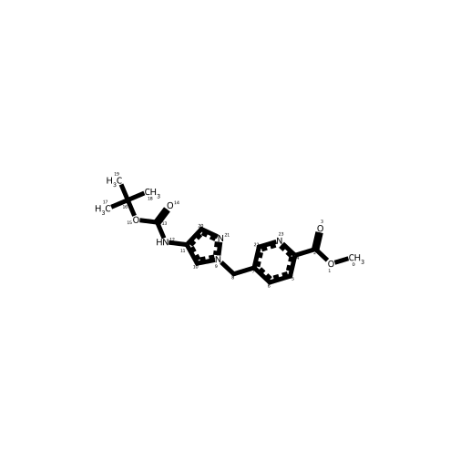 COC(=O)c1ccc(Cn2cc(NC(=O)OC(C)(C)C)cn2)cn1